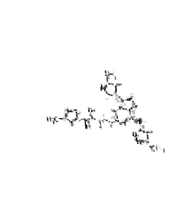 Cc1cc(NC(=O)NCCc2cn3c(-c4cnn(C)c4)cnc3c(Nc3cc(C)no3)n2)on1